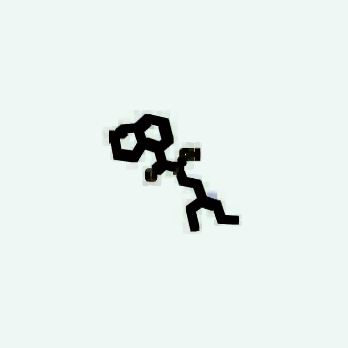 CC/C=C(\CC)CCN(O)C(=O)c1cccc2cnccc12